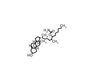 CCCCCCC(OC(N)=O)C(C)CCCC(C)[C@H]1CC[C@H]2[C@@H]3CC=C4C[C@@H](O)CC[C@]4(C)[C@H]3CC[C@]12C